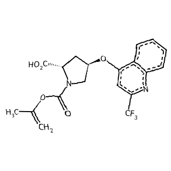 C=C(C)OC(=O)N1C[C@H](Oc2cc(C(F)(F)F)nc3ccccc23)C[C@H]1C(=O)O